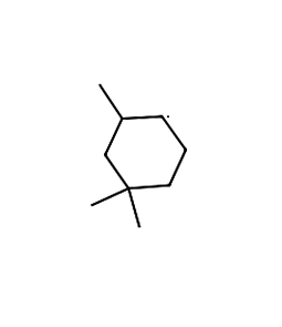 CC1[CH]CCC(C)(C)C1